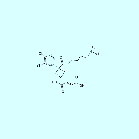 CN(C)CCCSCC(=O)C1(c2ccc(Cl)c(Cl)c2)CCC1.O=C(O)/C=C/C(=O)O